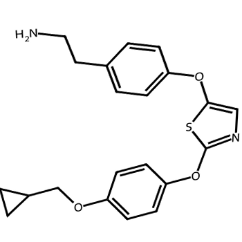 NCCc1ccc(Oc2cnc(Oc3ccc(OCC4CC4)cc3)s2)cc1